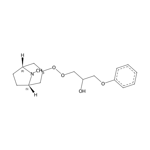 CN1[C@@H]2CC[C@H]1CC(OOCC(O)COc1ccccc1)C2